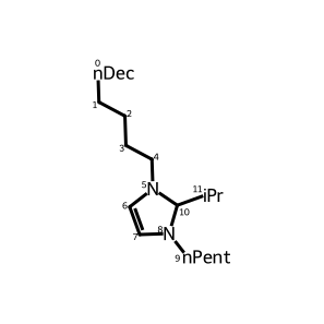 CCCCCCCCCCCCCCN1C=CN(CCCCC)C1C(C)C